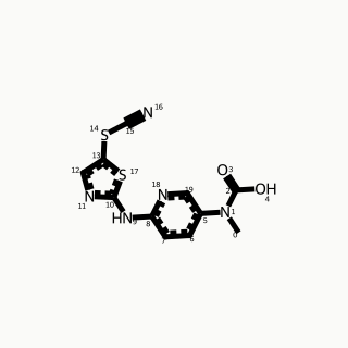 CN(C(=O)O)c1ccc(Nc2ncc(SC#N)s2)nc1